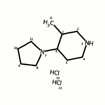 CC1CNCCC1N1CCCC1.Cl.Cl